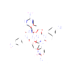 Cc1cc(N)ccc1N1C(=O)N(c2ccc(N)cc2C)C(=O)[N+](c2ccc(N)cc2C)([N+]2(c3ccc([N+](=O)[O-])cc3C)C(=O)N(c3ccc([N+](=O)[O-])cc3C)C(=O)N(c3ccc([N+](=O)[O-])cc3C)C2=O)C1=O